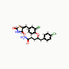 NC(=O)CCC(Cc1ccc(Cl)cc1)Oc1ccc(C=C2SC(=O)NC2=O)cc1Br